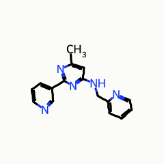 Cc1cc(NCc2ccccn2)nc(-c2cccnc2)n1